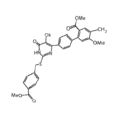 COC(=O)c1ccc(CSc2nc(-c3ccc(-c4cc(OC)c(C)cc4C(=O)OC)cc3)c(C#N)c(=O)[nH]2)cc1